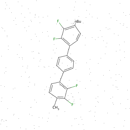 CCCCc1ccc(-c2ccc(-c3ccc(C)c(F)c3F)cc2)c(F)c1F